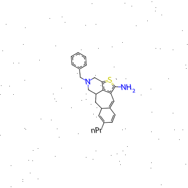 CCCC1=CC2CC3CN(Cc4ccccc4)Cc4sc(N)c(c43)C=C2C=C1